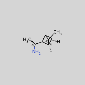 C[C@H](N)C1C2C[C@@H]1[C@@H]2C